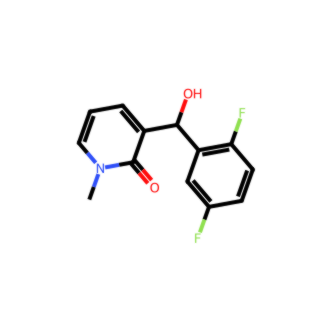 Cn1cccc(C(O)c2cc(F)ccc2F)c1=O